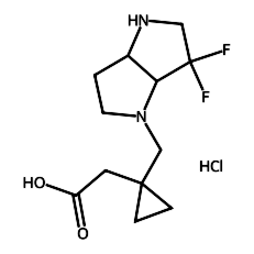 Cl.O=C(O)CC1(CN2CCC3NCC(F)(F)C32)CC1